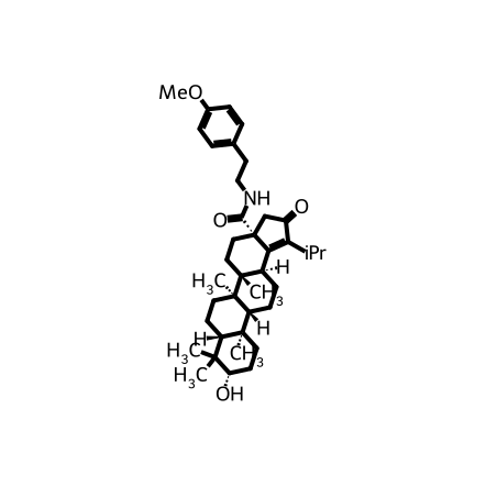 COc1ccc(CCNC(=O)[C@@]23CC[C@]4(C)[C@H](CC[C@@H]5[C@@]6(C)CC[C@H](O)C(C)(C)[C@@H]6CC[C@]54C)C2=C(C(C)C)C(=O)C3)cc1